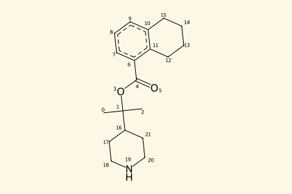 CC(C)(OC(=O)c1cccc2c1CCCC2)C1CCNCC1